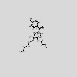 CCCCCCC(C)(CCCCCC)CN(CC)C(=O)c1ccc(C)cc1